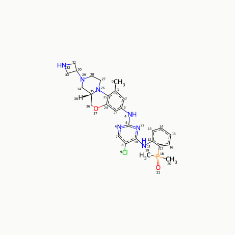 Cc1cc(Nc2ncc(Cl)c(Nc3ccccc3P(C)(C)=O)n2)cc2c1N1CCN(C3CNC3)C[C@H]1CO2